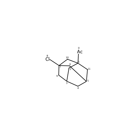 CC(=O)C12CC3CC(CC(Cl)(C3)C1)C2